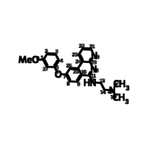 COc1cccc(Oc2ccc3c(NCCN(C)C)nc4ncccc4c3c2)c1